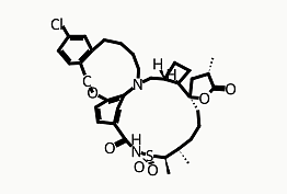 C[C@@H]1[C@@H](C)CCC[C@@]2(C[C@H](C)C(=O)O2)[C@@H]2CC[C@H]2CN2CCCCc3cc(Cl)ccc3COc3ccc(cc32)C(=O)NS1(=O)=O